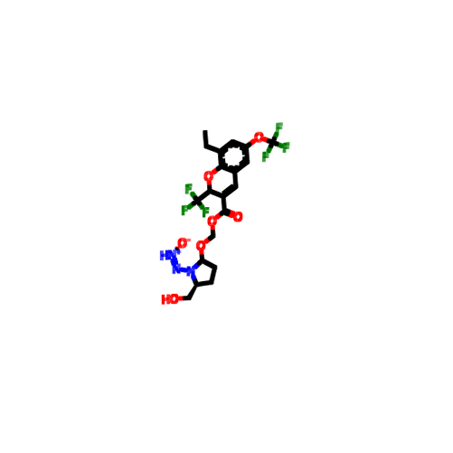 CCc1cc(OC(F)(F)F)cc2c1OC(C(F)(F)F)C(C(=O)OCOC1CC[C@@H](CO)N1/N=[NH+]\[O-])=C2